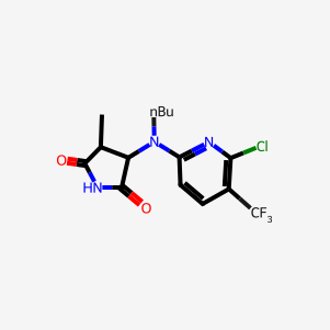 CCCCN(c1ccc(C(F)(F)F)c(Cl)n1)C1C(=O)NC(=O)C1C